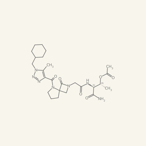 CC(=O)O[C@H](C)[C@H](NC(=O)CN1CC2(CCCN2C(=O)c2nnn(CC3CCCCC3)c2C)C1=O)C(N)=O